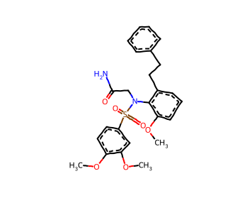 COc1ccc(S(=O)(=O)N(CC(N)=O)c2c(CCc3ccccc3)cccc2OC)cc1OC